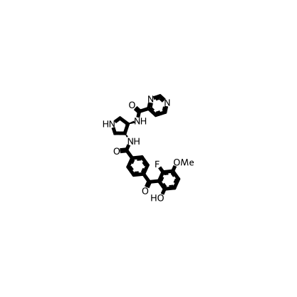 COc1ccc(O)c(C(=O)c2ccc(C(=O)N[C@@H]3CNC[C@H]3NC(=O)c3ccncn3)cc2)c1F